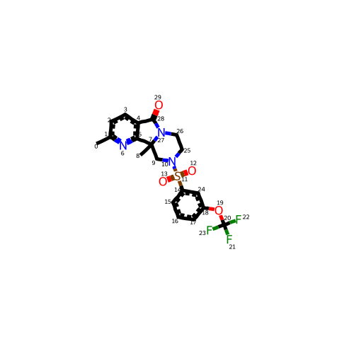 Cc1ccc2c(n1)C1(C)CN(S(=O)(=O)c3cccc(OC(F)(F)F)c3)CCN1C2=O